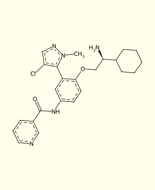 Cn1ncc(Cl)c1-c1cc(NC(=O)c2cccnc2)ccc1OC[C@@H](N)C1CCCCC1